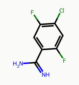 N=C(N)c1cc(F)c(Cl)cc1F